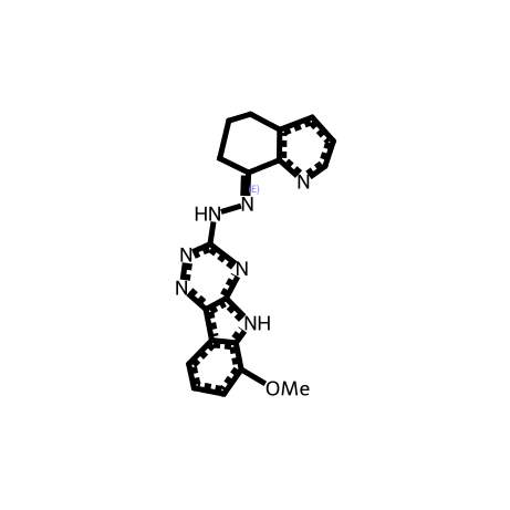 COc1cccc2c1[nH]c1nc(N/N=C3\CCCc4cccnc43)nnc12